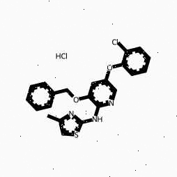 Cc1csc(Nc2ncc(Oc3ccccc3Cl)cc2OCc2ccccc2)n1.Cl